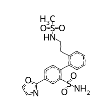 CS(=O)(=O)NCCc1ccccc1-c1ccc(-c2ncco2)cc1S(N)(=O)=O